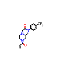 C=CC(=O)N1CCN2CC(=O)N(c3ccc(C(F)(F)F)cc3)CC2C1